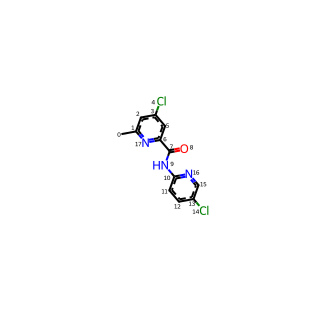 Cc1cc(Cl)cc(C(=O)Nc2ccc(Cl)cn2)n1